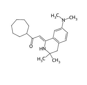 CN(C)c1ccc2c(c1)C(=CC(=O)C1CCCCCC1)NC(C)(C)C2